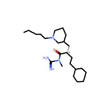 CCCCCN1CCCC(C[C@H](CCC2CCCCC2)C(=O)N(C)C(=N)N)C1